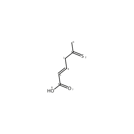 CC(=S)CC=CC(=O)O